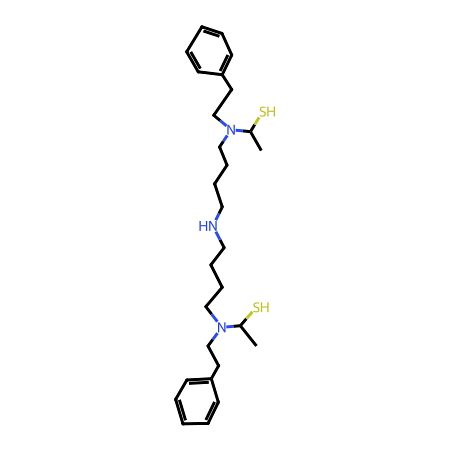 CC(S)N(CCCCNCCCCN(CCc1ccccc1)C(C)S)CCc1ccccc1